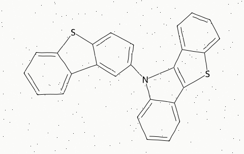 c1ccc2c(c1)sc1ccc(-n3c4ccccc4c4sc5ccccc5c43)cc12